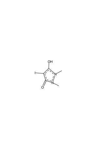 Cn1c(O)c(I)c(=O)n1C